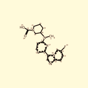 CN(c1ccnc(-c2cnc3ccc(F)cn23)n1)C1CCCN(C(=O)O)C1